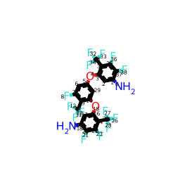 Nc1cc(Oc2cc(F)c(C(F)(F)F)c(Oc3cc(N)c(F)c(F)c3C(F)(F)F)c2)c(C(F)(F)F)c(F)c1F